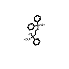 CC(C)(C)[Si](OCCC(O)(C(=O)O)c1ccccc1)(c1ccccc1)c1ccccc1